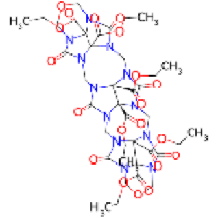 CCOC(=O)C12N3COCN1C(=O)N1CN4C(=O)N5CN6C(=O)N7COCN8C(=O)N(CN9C(=O)N(CN(C3=O)C12C(=O)OCC)[C@]4(C(=O)OCC)[C@@]59C(=O)OCC)C6(C(=O)OCC)C78C(=O)OCC